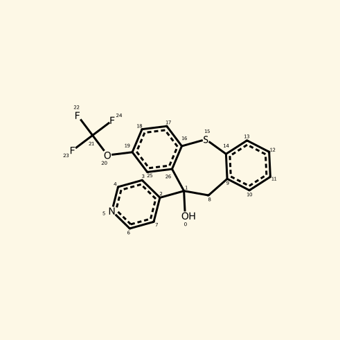 OC1(c2ccncc2)Cc2ccccc2Sc2ccc(OC(F)(F)F)cc21